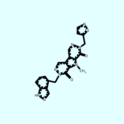 Cn1c2c(=O)n(Cc3ccns3)ncc2c2cnn(Cc3cccc4[nH]ncc34)c(=O)c21